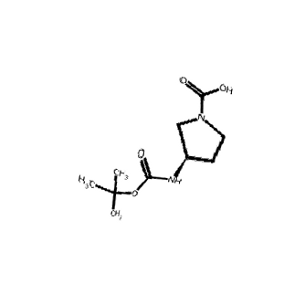 CC(C)(C)OC(=O)N[C@@H]1CCN(C(=O)O)C1